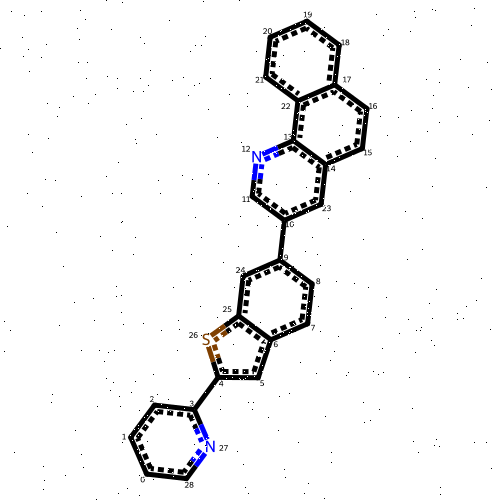 c1ccc(-c2cc3ccc(-c4cnc5c(ccc6ccccc65)c4)cc3s2)nc1